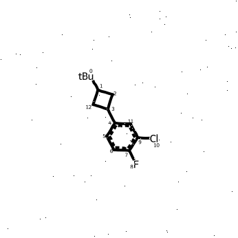 CC(C)(C)C1CC(c2ccc(F)c(Cl)c2)C1